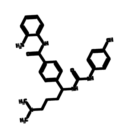 CN(C)CCCC(NC(=O)Nc1ccc(O)cc1)c1ccc(C(=O)Nc2ccccc2N)cc1